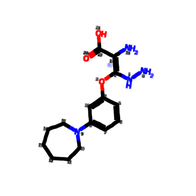 NN/C(Oc1cccc(N2CCCCCC2)c1)=C(\N)C(=O)O